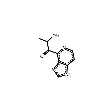 CC(O)C(=O)c1nccc2[nH]cnc12